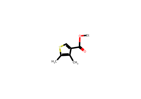 CCOC(=O)c1[c]sc(C)c1C